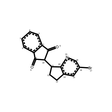 O=C1c2ccccc2C(=O)C1C1CCc2cc(Br)cnc21